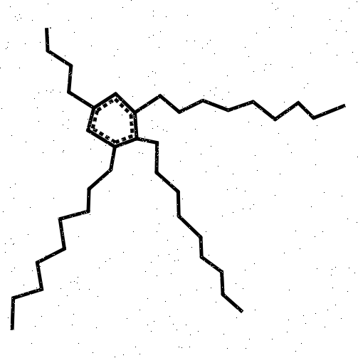 [CH2]CCCc1cc(CCCCCCCCC)c(CCCCCCCCC)c(CCCCCCCCC)c1